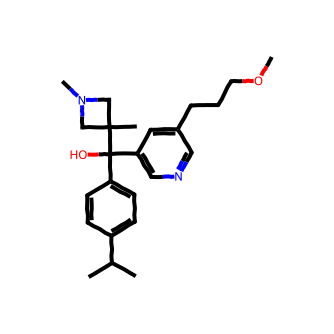 COCCCc1cncc(C(O)(c2ccc(C(C)C)cc2)C2(C)CN(C)C2)c1